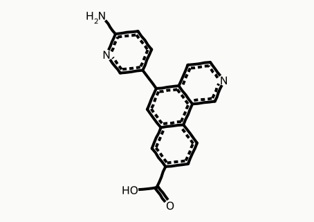 Nc1ccc(-c2cc3cc(C(=O)O)ccc3c3cnccc23)cn1